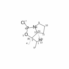 CC(C)[C@@]1(C)OP(Cl)N2CCC[C@H]21